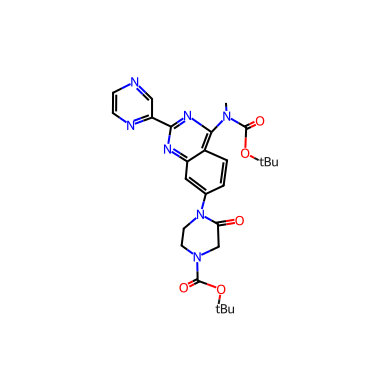 CN(C(=O)OC(C)(C)C)c1nc(-c2cnccn2)nc2cc(N3CCN(C(=O)OC(C)(C)C)CC3=O)ccc12